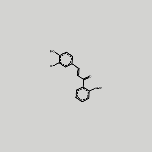 COc1ccccc1C(=O)C=Cc1ccc(O)c(Br)c1